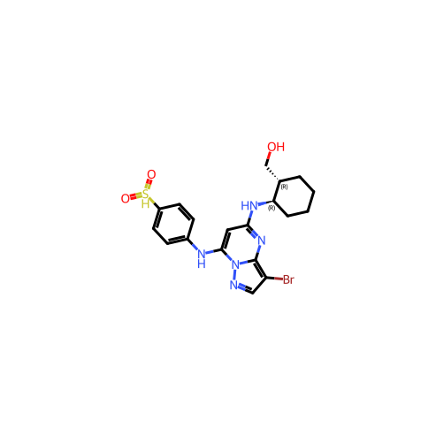 O=[SH](=O)c1ccc(Nc2cc(N[C@@H]3CCCC[C@H]3CO)nc3c(Br)cnn23)cc1